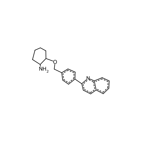 NC1CCCCC1OCc1ccc(-c2ccc3ccccc3n2)cc1